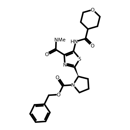 CNC(=O)c1nc([C@H]2CCCN2C(=O)OCc2ccccc2)sc1NC(=O)C1CCOCC1